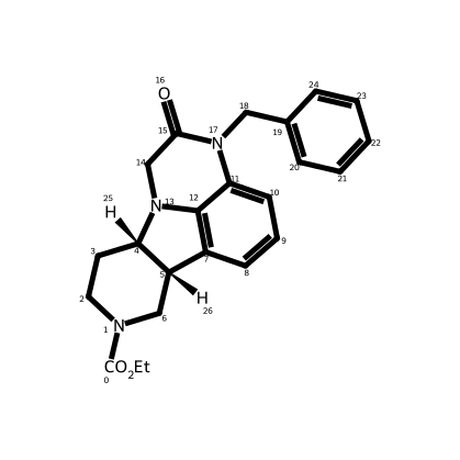 CCOC(=O)N1CC[C@H]2[C@@H](C1)c1cccc3c1N2CC(=O)N3Cc1ccccc1